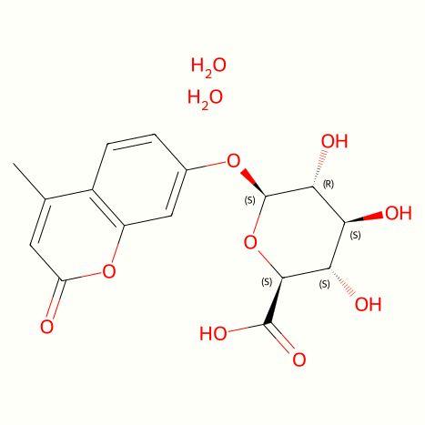 Cc1cc(=O)oc2cc(O[C@@H]3O[C@H](C(=O)O)[C@@H](O)[C@H](O)[C@H]3O)ccc12.O.O